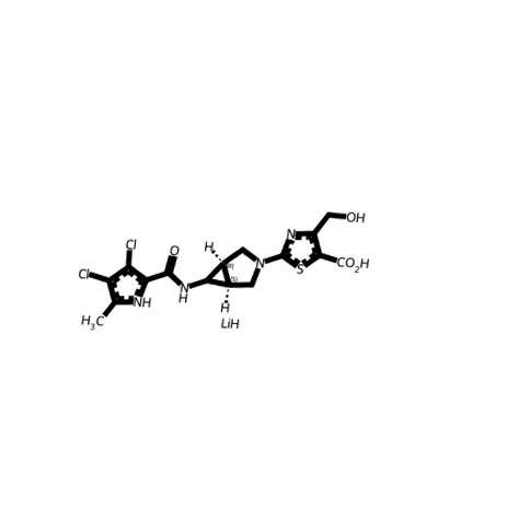 Cc1[nH]c(C(=O)NC2[C@H]3CN(c4nc(CO)c(C(=O)O)s4)C[C@@H]23)c(Cl)c1Cl.[LiH]